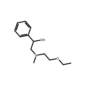 CCOCCN(C)CC(O)c1ccccc1